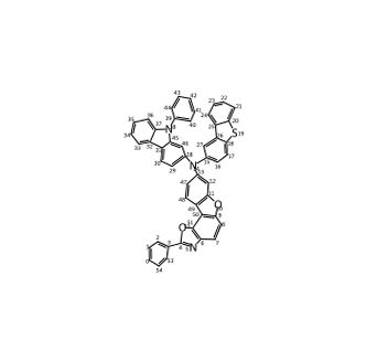 c1ccc(-c2nc3ccc4oc5cc(N(c6ccc7sc8ccccc8c7c6)c6ccc7c8ccccc8n(-c8ccccc8)c7c6)ccc5c4c3o2)cc1